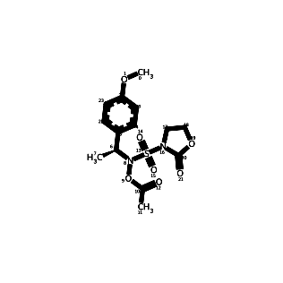 COc1ccc([C@H](C)N(OC(C)=O)S(=O)(=O)N2CCOC2=O)cc1